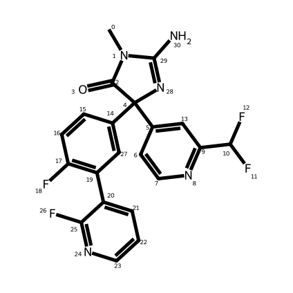 CN1C(=O)C(c2ccnc(C(F)F)c2)(c2ccc(F)c(-c3cccnc3F)c2)N=C1N